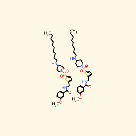 CCCCCCCCCCNC1CCN(S(=O)(=O)c2ccc(CNC(=O)c3cccc(OC)c3)s2)CC1.CCCCCCCCCNC1CCN(S(=O)(=O)c2ccc(CNC(=O)c3cccc(OC)c3)s2)CC1